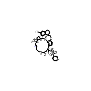 CO[C@H]1/C=C/CCN(C)C(=O)C[C@](O)(C(=O)NS(=O)(=O)c2cccnc2)c2ccc3c(c2)N(C[C@@H]2CC[C@H]21)C[C@@]1(CCCc2cc(Cl)ccc21)CO3